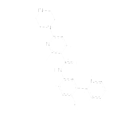 Cc1nc(N2CCN[C@@H](C)C2)ccc1C(=O)Nc1ccc(Cl)c(-c2ccccn2)c1